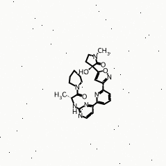 C[C@@H](Nc1nccc(-c2cccc(-c3cc([C@]4(O)CCN(C)C4=O)on3)n2)n1)C(=O)N1CCCCC1